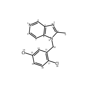 Cc1nc2cnccc2n1Cc1cc(Cl)ccc1Cl